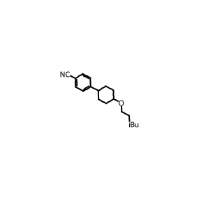 CCC(C)CCOC1CCC(c2ccc(C#N)cc2)CC1